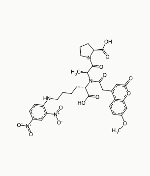 COc1ccc2c(CC(=O)N([C@@H](C)C(=O)N3CCC[C@H]3C(=O)O)[C@@H](CCCCNc3ccc([N+](=O)[O-])cc3[N+](=O)[O-])C(=O)O)cc(=O)oc2c1